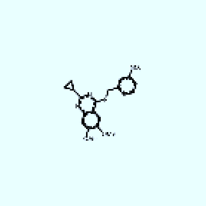 COc1cc2nc(C3CC3)nc(NCc3cccc([N+](=O)[O-])c3)c2cc1OC